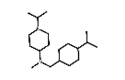 CC(C)C1CCC(CN(C)C2CCN(C(C)C)CC2)CC1